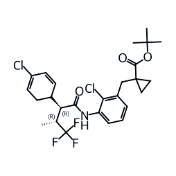 C[C@H]([C@H](C(=O)Nc1cccc(CC2(C(=O)OC(C)(C)C)CC2)c1Cl)C1C=CC(Cl)=CC1)C(F)(F)F